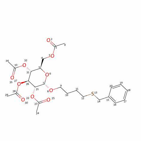 CC(=O)OC[C@H]1O[C@H](OCCCCSCc2ccccc2)[C@H](OC(C)=O)[C@@H](OC(C)=O)[C@@H]1OC(C)=O